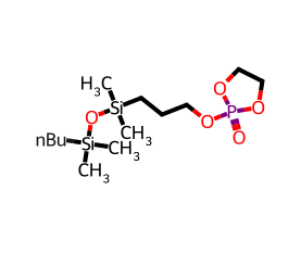 CCCC[Si](C)(C)O[Si](C)(C)CCCOP1(=O)OCCO1